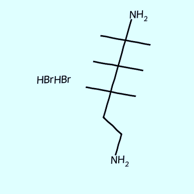 Br.Br.CC(C)(N)C(C)(C)C(C)(C)CCN